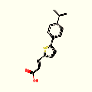 CC(C)c1ccc(-c2ccc(/C=C/C(=O)O)s2)cc1